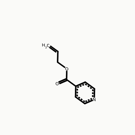 C=CCOC(=O)c1ccncc1